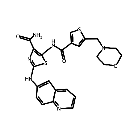 NC(=O)c1nc(Nc2ccc3ncccc3c2)sc1NC(=O)c1csc(CN2CCOCC2)c1